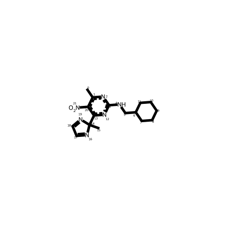 Cc1nc(NCC2CCCCC2)nc(C2(C)N=CC=N2)c1[N+](=O)[O-]